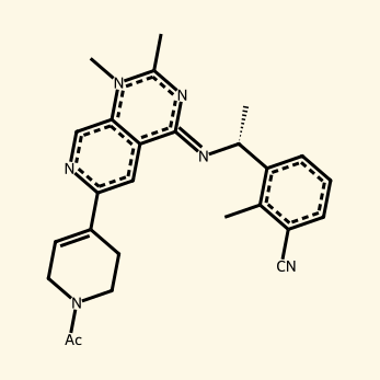 CC(=O)N1CC=C(c2cc3/c(=N/[C@H](C)c4cccc(C#N)c4C)nc(C)n(C)c3cn2)CC1